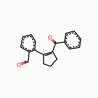 O=Cc1ccccc1C1=C(C(=O)c2ccccc2)CCC1